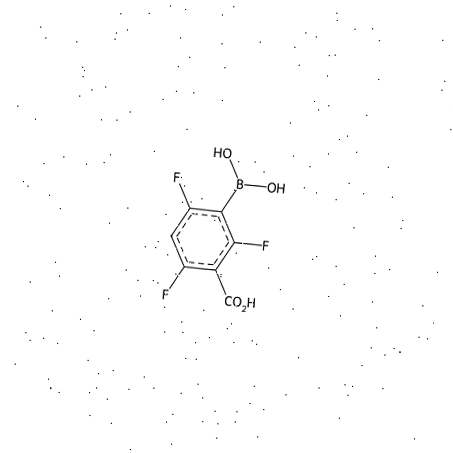 O=C(O)c1c(F)cc(F)c(B(O)O)c1F